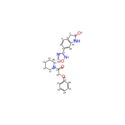 O=C1Cc2ccc(-c3noc([C@H]4CCCCN4C(=O)COc4ccccc4)n3)cc2N1